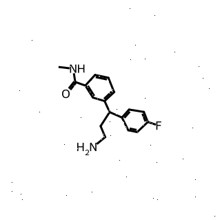 CNC(=O)c1cccc(C(CCN)c2ccc(F)cc2)c1